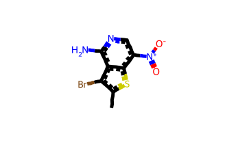 Cc1sc2c([N+](=O)[O-])cnc(N)c2c1Br